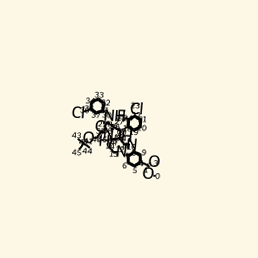 COC(=O)c1ccc2c(c1)nc1n2CC[C@H]2[C@@H]1[C@H](c1cccc(Cl)c1F)[C@](C)(C(=O)Nc1cccc(Cl)c1)N2CCOC(C)(C)C